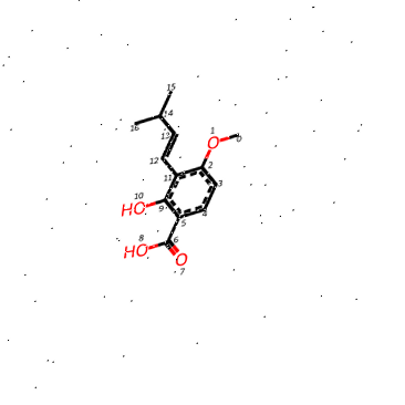 COc1ccc(C(=O)O)c(O)c1/C=C/C(C)C